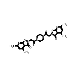 Cc1cc(C)c2c(=O)n(CC(=O)N3CCN(C(=O)Cn4sc5nc(C)cc(C)c5c4=O)CC3)sc2n1